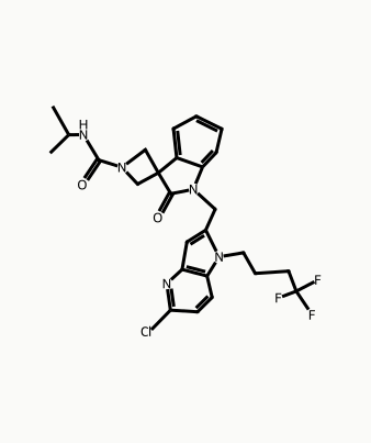 CC(C)NC(=O)N1CC2(C1)C(=O)N(Cc1cc3nc(Cl)ccc3n1CCCC(F)(F)F)c1ccccc12